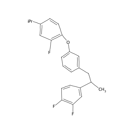 CC(C)c1ccc(Oc2cccc(CC(C)c3ccc(F)c(F)c3)c2)c(F)c1